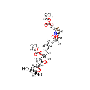 CC[Si](CC)(CC)O[C@@H](CC(=O)O)C(C)(C)C(=O)[C@H](C)[C@@H](OC(=O)OCC(Cl)(Cl)Cl)[C@@H](C)CC=CC(C)=CCC(O)C(C)=Cc1csc(COC(=O)OCC(Cl)(Cl)Cl)n1